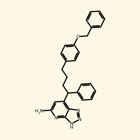 Nc1cc(C(CCCc2ccc(OCc3ccccc3)cc2)c2ccccc2)c2nn[nH]c2n1